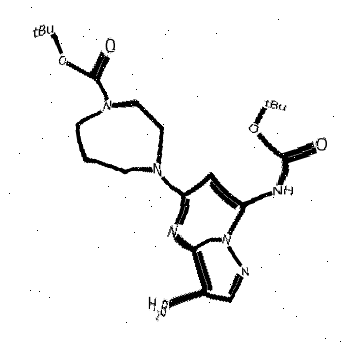 Bc1cnn2c(NC(=O)OC(C)(C)C)cc(N3CCCN(C(=O)OC(C)(C)C)CC3)nc12